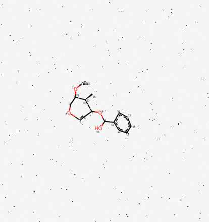 CCCCO[C@@H]1COC=CC(OC(O)c2ccccc2)[C@@H]1C